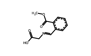 COC(=O)c1ccccc1C=NCC(=O)O